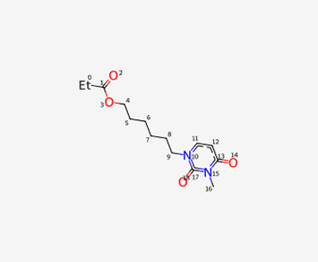 CCC(=O)OCCCCCCn1ccc(=O)n(C)c1=O